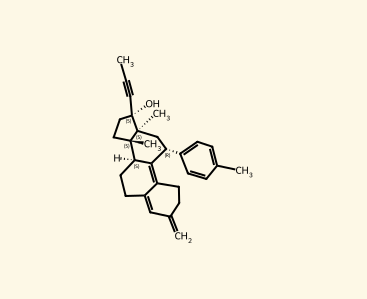 C=C1C=C2CC[C@@H]3C(=C2CC1)[C@@H](c1ccc(C)cc1)C[C@@]1(C)[C@@]3(C)CC[C@@]1(O)C#CC